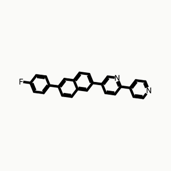 Fc1ccc(-c2ccc3cc(-c4ccc(-c5ccncc5)nc4)ccc3c2)cc1